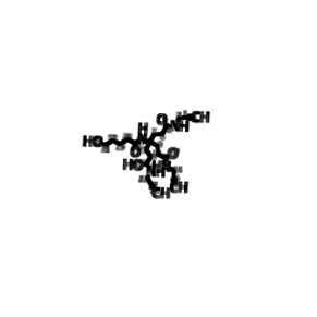 C#CCNC(=O)CCC(CCC(=O)NCC#C)(CCC(O)NCC#C)NC(=O)CCCCO